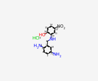 Cl.Nc1ccc(N)c(CNc2cc([N+](=O)[O-])ccc2O)c1